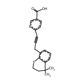 CC1(C)CCSc2c(CC#Cc3ccc(C(=O)O)cn3)cccc21